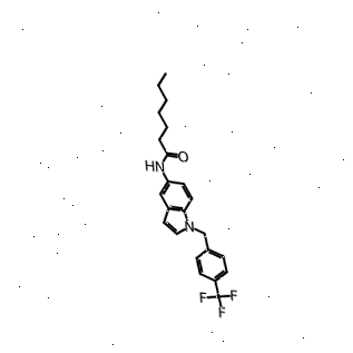 CCCCCCC(=O)Nc1ccc2c(ccn2Cc2ccc(C(F)(F)F)cc2)c1